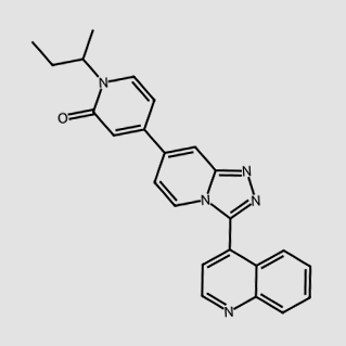 CCC(C)n1ccc(-c2ccn3c(-c4ccnc5ccccc45)nnc3c2)cc1=O